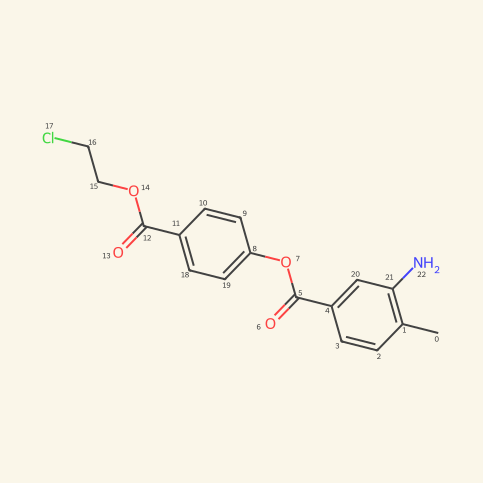 Cc1ccc(C(=O)Oc2ccc(C(=O)OCCCl)cc2)cc1N